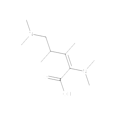 CC(=C(C(=O)O)N(C)C)C(C)CN(C)C